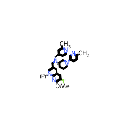 COc1nc2c(cc1F)CC(CN(Cc1ccnc(C)c1)[C@H]1CCCN(c3ccc(C)nc3)C1)=CN2C(C)C